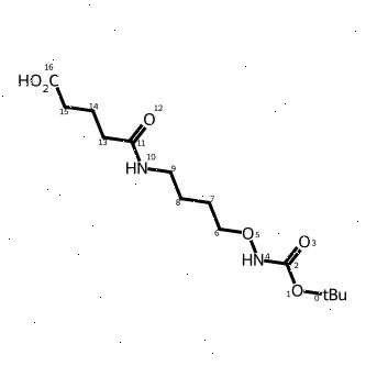 CC(C)(C)OC(=O)NOCCCCNC(=O)CCCC(=O)O